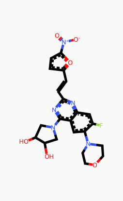 O=[N+]([O-])c1ccc(C=Cc2nc(N3CC(O)C(O)C3)c3cc(N4CCOCC4)c(F)cc3n2)o1